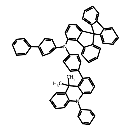 CC1(C)c2ccccc2N(c2ccccc2)c2cccc(-c3ccc(N(c4ccc(-c5ccccc5)cc4)c4cccc5c4-c4ccccc4C54c5ccccc5-c5ccccc54)cc3)c21